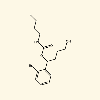 CCCCNC(=O)OC(CCCO)c1ccccc1Br